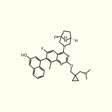 CN(C)CC1(COc2nc(N3C[C@@H]4CC[C@@](F)(C3)N4)c3cc(F)c(-c4cc(O)cc5ccccc45)c(F)c3n2)CC1